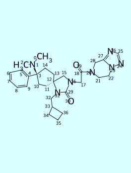 CN(C)[C@]1(c2ccccc2)CC[C@]2(CC1)CN(CC(=O)N1CCn3ncnc3C1)C(=O)N2CC1CCC1